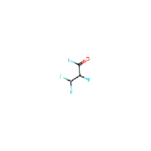 O=C(F)C(F)C(F)F